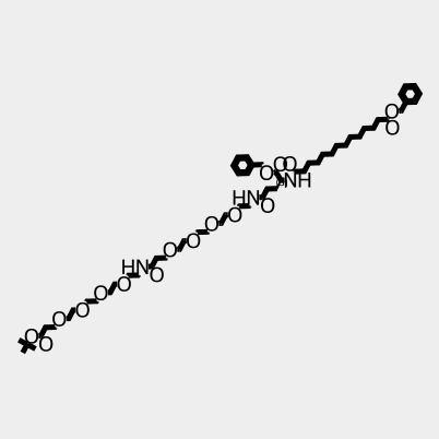 CC(C)(C)OC(=O)CCOCCOCCOCCOCCNC(=O)CCOCCOCCOCCOCCNC(=O)CC[C@H](NC(=O)CCCCCCCCCCCCC(=O)OCc1ccccc1)C(=O)OCc1ccccc1